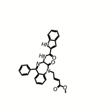 COC(=O)C=CCN1C(=O)C(NC(=O)c2cc3ccccc3[nH]2)N=C(c2ccccc2)c2ccccc21